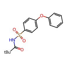 CC(C)(C)C(=O)NS(=O)(=O)c1ccc(Oc2ccccc2)cc1